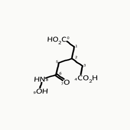 O=C(O)CC(CC(=O)O)CC(=O)NO